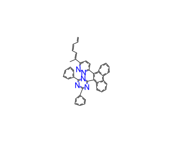 C=C/C=C\C=C(/C)c1ccc(-c2c(-c3nc(-c4ccccc4)nc(-c4ccccc4)n3)c3ccccc3c3ccccc23)nn1